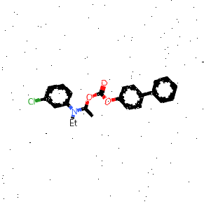 CCN(c1cccc(Cl)c1)C(C)OC(=O)Oc1ccc(-c2ccccc2)cc1